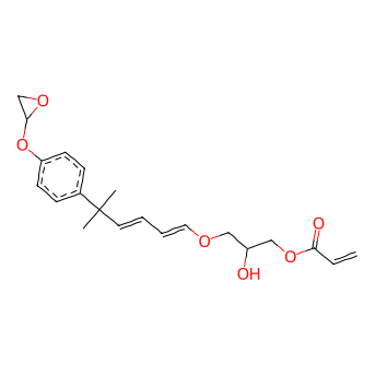 C=CC(=O)OCC(O)CO/C=C/C=C/C(C)(C)c1ccc(OC2CO2)cc1